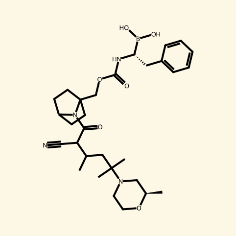 CC(CC(C)(C)N1CCO[C@H](C)C1)C(C#N)C(=O)N1C2CCC1(COC(=O)N[C@@H](Cc1ccccc1)B(O)O)CC2